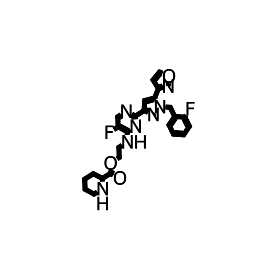 O=C(OCCNc1nc(-c2cc(-c3ccon3)n(Cc3ccccc3F)n2)ncc1F)C1CCCCN1